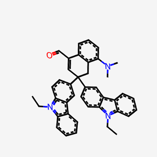 CCn1c2ccccc2c2cc(C3(c4ccc5c(c4)c4ccccc4n5CC)C=C(C=O)c4cccc(N(C)C)c4C3)ccc21